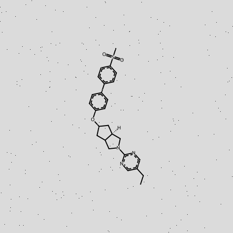 CCc1cnc(N2CC3CC(Oc4ccc(-c5ccc(S(C)(=O)=O)cc5)cc4)C[C@H]3C2)nc1